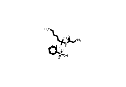 CCCCCC(C)(C)NC(=O)CN.O=S(=O)(O)c1ccccc1